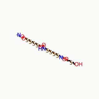 C/N=C/OOCSCSCSCSCOC(=O)NCSCSCSCSC/N=C/OOCCSCCO